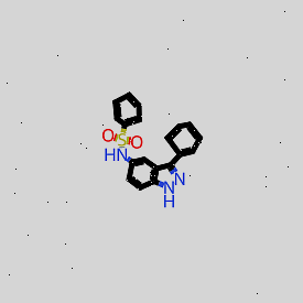 O=S(=O)(Nc1ccc2[nH]nc(-c3ccccc3)c2c1)c1ccccc1